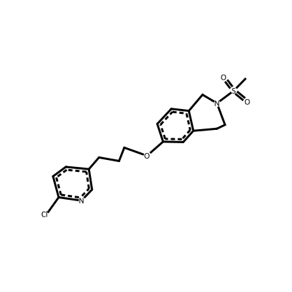 CS(=O)(=O)N1CCc2cc(OCCCc3ccc(Cl)nc3)ccc2C1